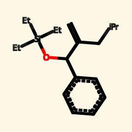 C=C(CC(C)C)C(O[Si](CC)(CC)CC)c1ccccc1